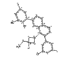 Cc1cc(Cl)cc(-c2cnc3ccc(-c4cc(F)cc(C#N)c4O)cc3c2N2CC(C)(CN)C2)c1